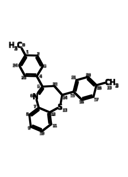 Cc1ccc(C2=Nc3ccccc3SC(c3ccc(C)cc3)C2)cc1